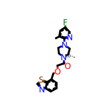 Cc1cc(F)cnc1N1CCN(C(=O)COCc2cccc3ncsc23)[C@@H](C)C1